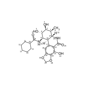 C[C@@H]1[C@H](O)[C@@H](O)[C@H](NC(=O)C2CCCCC2)[C@@H]2c3cc4c(c(O)c3C(=O)N[C@@H]12)OCO4